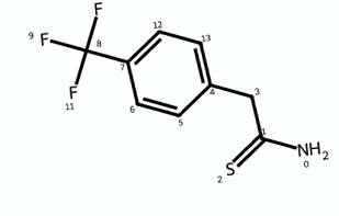 NC(=S)Cc1ccc(C(F)(F)F)cc1